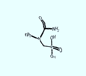 CCCN(CP(=O)(O)O)C(N)=O